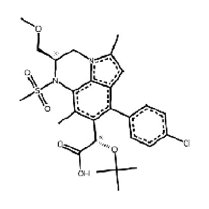 COC[C@H]1Cn2c(C)cc3c(-c4ccc(Cl)cc4)c([C@H](OC(C)(C)C)C(=O)O)c(C)c(c32)N1S(C)(=O)=O